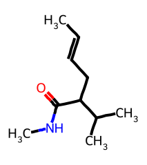 C/C=C/CC(C(=O)NC)C(C)C